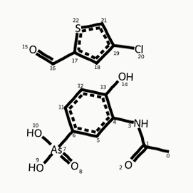 CC(=O)Nc1cc([As](=O)(O)O)ccc1O.O=Cc1cc(Cl)cs1